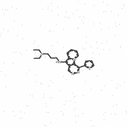 CCN(CC)CCCNc1c2cnnc(-c3cccs3)c2n2ccccc12